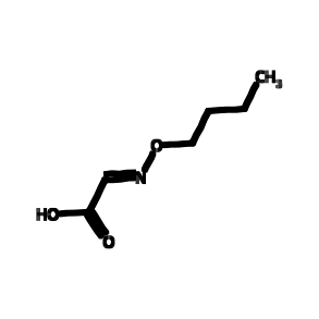 CCCCON=CC(=O)O